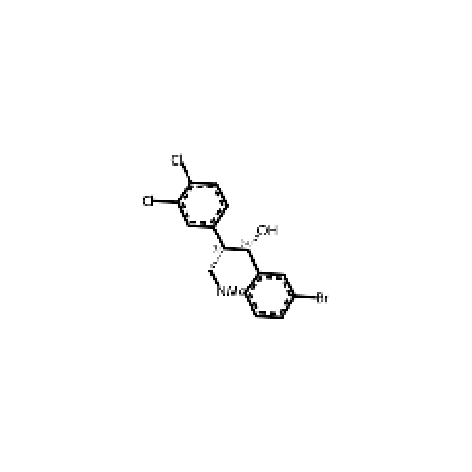 CNC[C@H](c1ccc(Cl)c(Cl)c1)[C@H](O)c1cccc(Br)c1